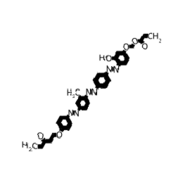 C=CC(=O)CCOc1ccc(N=Nc2ccc(N=Nc3ccc(N=Nc4ccc(OCOC(=O)C=C)cc4O)cc3)c(C)c2)cc1